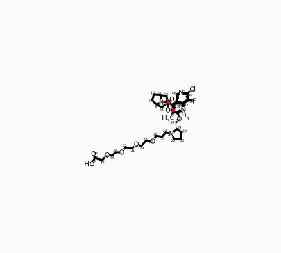 CC(C)(C)OC(=O)N1C2CCC1CN(c1nc(OC[C@@H]3CCCN3CCCOCCOCCOCCOCC(=O)O)nc3c(F)c(Cl)ncc13)C2